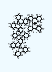 c1ccc([Si](c2cccc(-c3ccc4c(c3)-c3ccccc3B3c5ccccc5-c5ccccc5N34)c2)(c2ccc3c(c2)-c2ccccc2N2B3c3ccccc3-c3ccccc32)c2ccc3c(c2)-c2ccccc2B2c4ccccc4-c4ccccc4N23)cc1